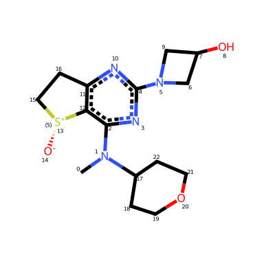 CN(c1nc(N2CC(O)C2)nc2c1[S@+]([O-])CC2)C1CCOCC1